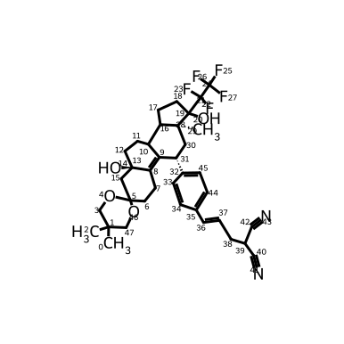 CC1(C)COC2(CCC3=C4C(CC[C@@]3(O)C2)C2CCC(O)(C(F)(F)C(F)(F)F)[C@@]2(C)C[C@@H]4c2ccc(/C=C/CC(C#N)C#N)cc2)OC1